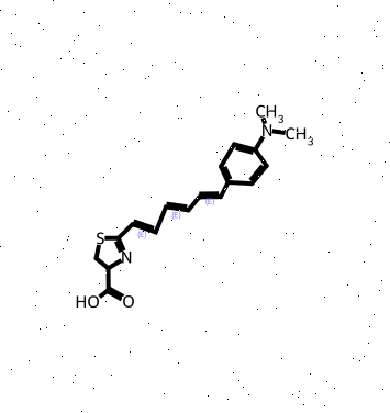 CN(C)c1ccc(/C=C/C=C/C=C/C2=NC(C(=O)O)CS2)cc1